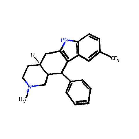 CN1CC[C@H]2Cc3[nH]c4ccc(C(F)(F)F)cc4c3C(c3ccccc3)C2C1